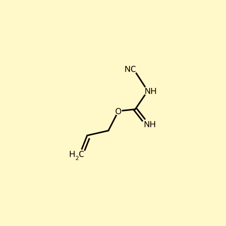 C=CCOC(=N)NC#N